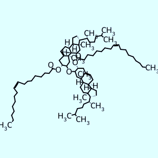 CCCCCCCC/C=C\CCCCCCCC(=O)O[C@@H]1CC2=CC[C@H]3[C@@H]4CC[C@H]([C@H](C)CCCC(C)C)[C@@]4(C)CC[C@@H]3[C@@]2(C)CC1OC1C[C@@]2(C)C(=CC[C@H]3[C@@H]4CC[C@H]([C@H](C)CCCC(C)C)[C@@]4(C)CC[C@@H]32)C[C@H]1OC(=O)CCCCCCC/C=C\CCCCCCCC